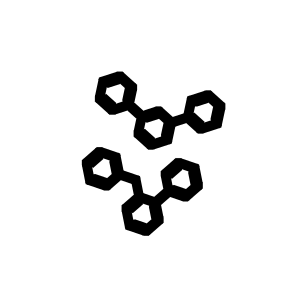 c1ccc(-c2cccc(-c3ccccc3)c2)cc1.c1ccc(Cc2ccccc2-c2ccccc2)cc1